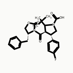 CC(C)(C)C1[C@H](C(=O)N2C(=O)OC[C@H]2Cc2ccccc2)[C@@H](c2ccc(F)cc2)CN1C(=O)O